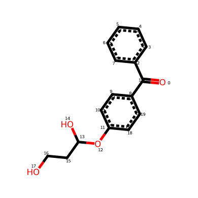 O=C(c1ccccc1)c1ccc(OC(O)CCO)cc1